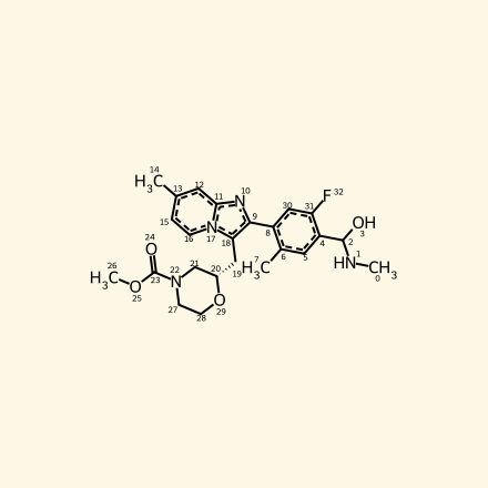 CNC(O)c1cc(C)c(-c2nc3cc(C)ccn3c2C[C@H]2CN(C(=O)OC)CCO2)cc1F